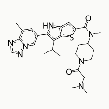 Cc1cc(-c2[nH]c3cc(C(=O)N(C)C4CCN(C(=O)CN(C)C)CC4)sc3c2C(C)C)cn2ncnc12